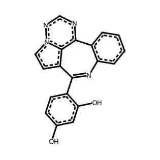 Oc1ccc(C2=Nc3ccccc3-c3ncnn4ccc2c34)c(O)c1